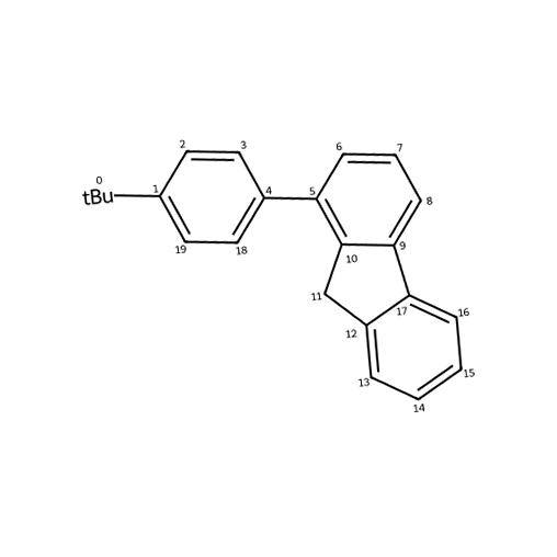 CC(C)(C)c1ccc(-c2cccc3c2Cc2ccccc2-3)cc1